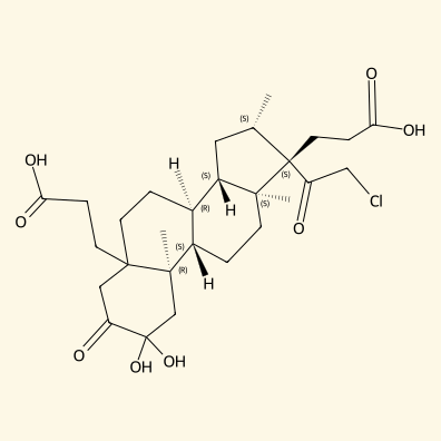 C[C@H]1C[C@H]2[C@@H]3CCC4(CCC(=O)O)CC(=O)C(O)(O)C[C@]4(C)[C@H]3CC[C@]2(C)[C@@]1(CCC(=O)O)C(=O)CCl